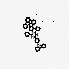 c1ccc(-c2nc(-c3ccc(-n4c5ccccc5c5ccccc54)cc3)nc(-c3ccccc3-c3cccc4c3-c3ccccc3C43c4ccccc4-c4ccccc43)n2)cc1